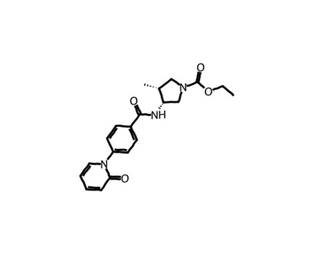 CCOC(=O)N1C[C@@H](C)[C@@H](NC(=O)c2ccc(-n3ccccc3=O)cc2)C1